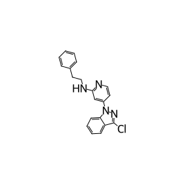 Clc1nn(-c2ccnc(NCCc3ccccc3)c2)c2ccccc12